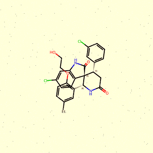 CCc1ccc(OCCO)c([C@H]2NC(=O)C[C@@H](c3cccc(Cl)c3)[C@]23C(=O)Nc2cc(Cl)ccc23)c1